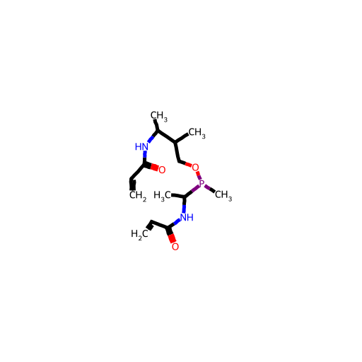 C=CC(=O)NC(C)C(C)COP(C)C(C)NC(=O)C=C